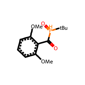 COc1cccc(OC)c1C(=O)[PH](=O)C(C)(C)C